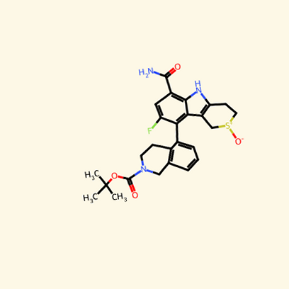 CC(C)(C)OC(=O)N1CCc2c(cccc2-c2c(F)cc(C(N)=O)c3[nH]c4c(c23)C[S+]([O-])CC4)C1